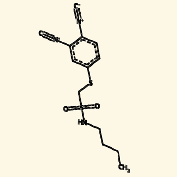 [C-]#[N+]c1ccc(SCS(=O)(=O)NCCCC)cc1[N+]#[C-]